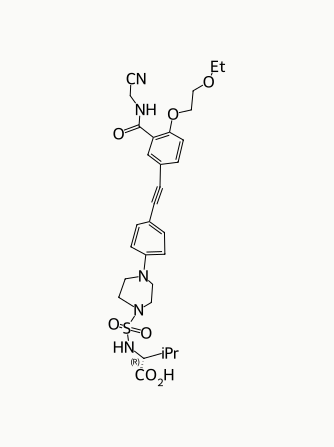 CCOCCOc1ccc(C#Cc2ccc(N3CCN(S(=O)(=O)N[C@@H](C(=O)O)C(C)C)CC3)cc2)cc1C(=O)NCC#N